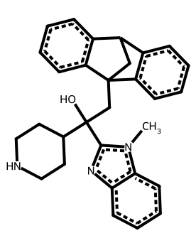 Cn1c(C(O)(CC23CC(c4ccccc42)c2ccccc23)C2CCNCC2)nc2ccccc21